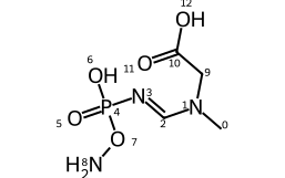 CN(C=NP(=O)(O)ON)CC(=O)O